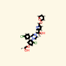 C[C@@H](O)COc1ccc(N2CCN(C[C@@](C)(O)c3ccc(COC4CCCCO4)nc3)C[C@H]2c2ccc(Cl)cc2)c(Cl)c1